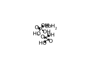 O=P(O)(O)O.O=S(=O)(O)O.[PbH2]